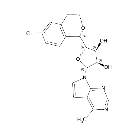 Cc1ncnc2c1ccn2[C@@H]1O[C@H]([C@H]2OCCc3cc(Cl)ccc32)[C@@H](O)[C@H]1O